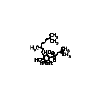 CCCCCc1cc(O)c(C/C=C(\C)CCC=C(C)C)c(O)c1S(=O)(=O)CCN(C)C